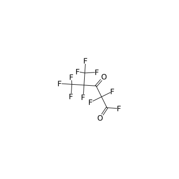 O=C(F)C(F)(F)C(=O)C(F)(C(F)(F)F)C(F)(F)F